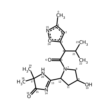 Cc1cc(C(C(=O)N2CC(O)CC2C2=NC(=O)C(C)(C)N2)C(C)C)on1